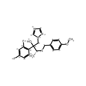 COc1ccc(CS[C@H](C)C(O)(Cn2cncn2)c2ccc(F)cc2F)cc1